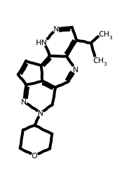 CC(C)C1=c2ncc3c4c(ccc-4c2NN=C1)=NN(C1CCOCC1)C3